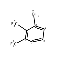 Bc1cccc(C(F)(F)F)c1C(F)(F)F